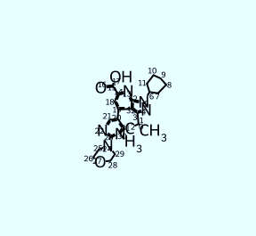 CC(C)c1nn(C2CCCCC2)c2nc(C(=O)O)cc(-c3cnc(N4CCOCC4)nc3)c12